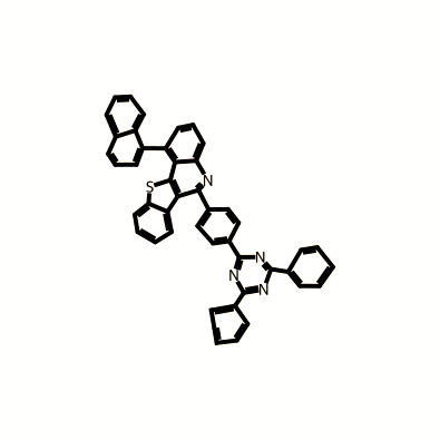 c1ccc(-c2nc(-c3ccccc3)nc(-c3ccc(-c4nc5cccc(-c6cccc7ccccc67)c5c5sc6ccccc6c45)cc3)n2)cc1